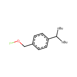 CCCCC(CCCC)c1ccc(COF)cc1